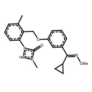 CON=C(c1cccc(OCc2c(C)cccc2-n2[nH]n(C)c2=O)c1)C1CC1